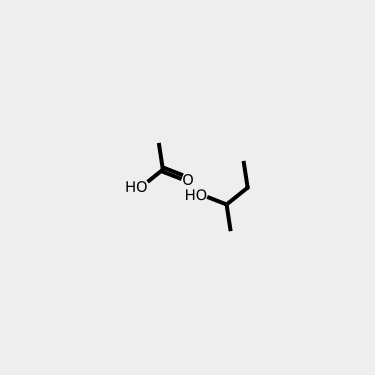 CC(=O)O.CCC(C)O